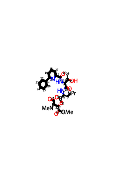 CN[C@@H]1C(=O)OB([C@H](CC(C)C)NC(=O)[C@@H](NC(=O)c2cccc(-c3ccccc3)n2)[C@@H](C)O)O[C@H]1C(=O)OC